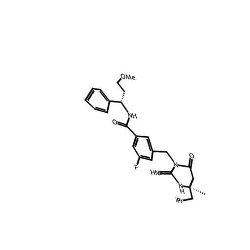 COCC[C@H](NC(=O)c1cc(F)cc(CN2C(=N)N[C@](C)(CC(C)C)CC2=O)c1)c1ccccc1